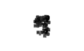 CC(C)(N)c1ncccc1C(=O)O[C@@H]1C[C@H](n2cnc3c(=O)[nH]c(N)nc32)OC1COP(=O)(O)OP(=O)(O)OP(=O)(O)O